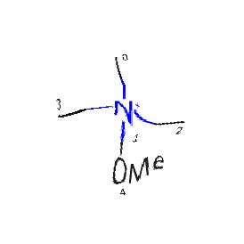 C[N+](C)(C)O[11CH3]